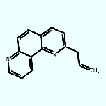 C=CCc1ccc2ccc3ncccc3c2n1